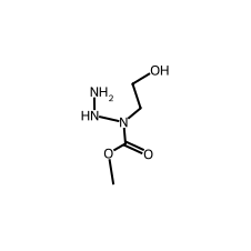 COC(=O)N(CCO)NN